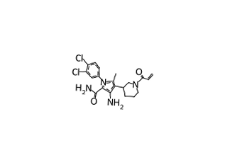 C=CC(=O)N1CCCC(c2c(N)c(C(N)=O)n(-c3ccc(Cl)c(Cl)c3)c2C)C1